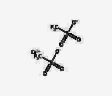 O=S(=O)([O-])C(F)(F)F.O=S(=O)([O-])C(F)(F)F.[Cr+2]